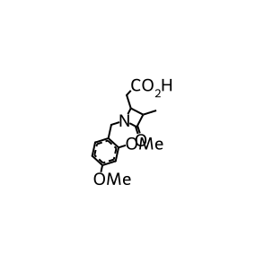 COc1ccc(CN2C(=O)C(C)C2CC(=O)O)c(OC)c1